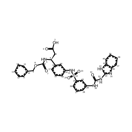 O=C(O)C[C@H](NC(=O)OCc1ccccc1)c1cccc(NS(=O)(=O)c2cccc(NC(=O)Nc3nc4ccccc4[nH]3)c2)c1